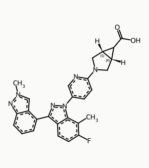 Cc1c(F)ccc2c(-c3cccc4nn(C)cc34)nn(-c3ccc(N4C[C@@H]5C(C(=O)O)[C@@H]5C4)nc3)c12